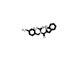 N=C(N)N(Cc1ccc(N)cc1)C(=O)c1cc2ccccc2[nH]1